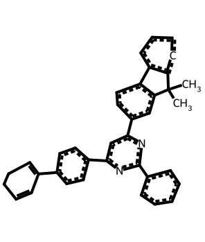 CC1(C)c2ccccc2-c2ccc(-c3cc(-c4ccc(C5=CCCC=C5)cc4)nc(-c4ccccc4)n3)cc21